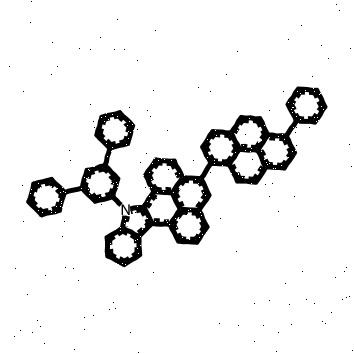 c1ccc(-c2cc(-c3ccccc3)cc(-n3c4ccccc4c4c5cccc6cc(-c7ccc8ccc9c(-c%10ccccc%10)ccc%10ccc7c8c%109)c7cccc(c7c65)c43)c2)cc1